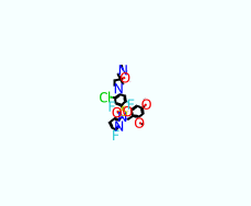 COc1ccc(CN(c2cccc(F)n2)S(=O)(=O)c2c(F)cc(N3CCC(CN(C)C)(OC)C3)c(Cl)c2F)c(OC)c1